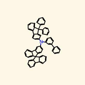 c1ccc(-c2cccc(N(c3ccc4c(c3)-c3ccccc3C43c4ccccc4-c4ccccc43)c3ccc4c(c3)C(c3ccccc3)(c3ccccc3)c3ccccc3-4)c2)cc1